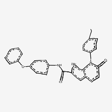 Cc1ccc(-n2c(=O)ccc3cc(C(=O)Nc4ccc(Oc5ccccc5)cc4)[nH]c32)cc1